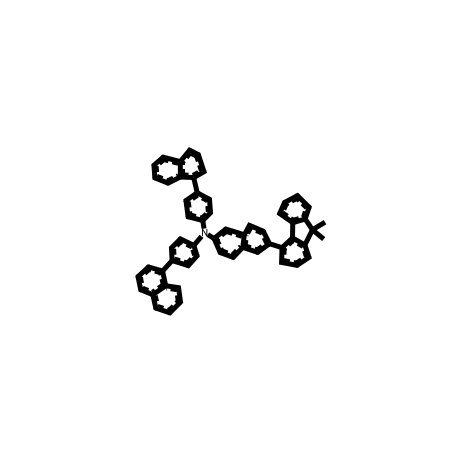 CC1(C)c2ccccc2-c2c(-c3ccc4cc(N(c5ccc(-c6cccc7ccccc67)cc5)c5ccc(-c6cccc7ccccc67)cc5)ccc4c3)cccc21